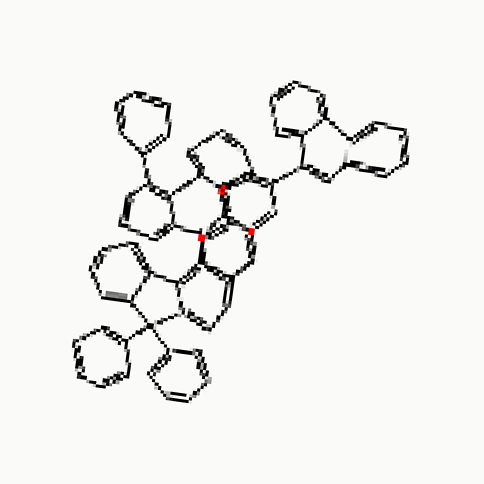 c1ccc(-c2ccccc2-c2c(-c3ccccc3)cccc2N(c2ccc(-c3cc4ccccc4c4ccccc34)cc2)c2cccc3c2-c2ccccc2C3(c2ccccc2)c2ccccc2)cc1